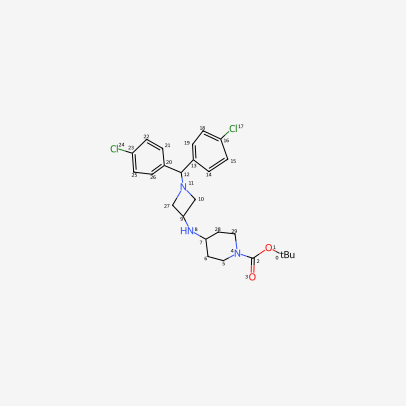 CC(C)(C)OC(=O)N1CCC(NC2CN(C(c3ccc(Cl)cc3)c3ccc(Cl)cc3)C2)CC1